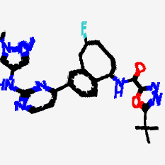 Cn1cc(Nc2nccc(-c3ccc4c(c3)CC(F)CCC4NC(=O)c3nnc(C(C)(C)C)o3)n2)cn1